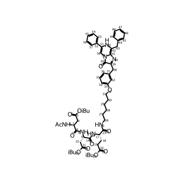 CC(=O)N[C@@H](CC(=O)OCC(C)C)C(=O)N[C@@H](CC(=O)OCC(C)C)C(=O)N[C@@H](CCC(=O)OCC(C)C)C(=O)NCCCCCCOc1cccc(Cc2nc3c(Cc4ccccc4)[nH]c(-c4ccccc4)cn-3c2=O)c1